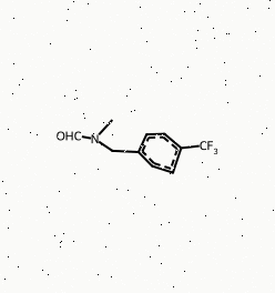 CN(C=O)Cc1ccc(C(F)(F)F)cc1